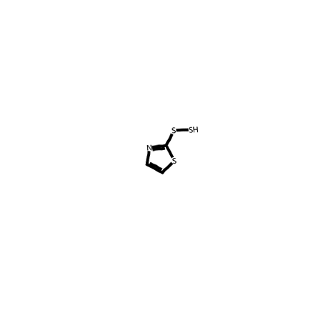 SSc1nccs1